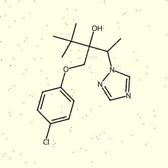 CC(n1cncn1)C(O)(COc1ccc(Cl)cc1)C(C)(C)C